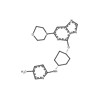 Cc1ccc(N[C@H]2CC[C@@H](Oc3nc(N4CCOCC4)cc4ncnn34)CC2)nc1